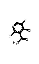 NC(=O)c1c(Cl)ncc(F)c1Cl